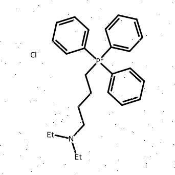 CCN(CC)CCCC[P+](c1ccccc1)(c1ccccc1)c1ccccc1.[Cl-]